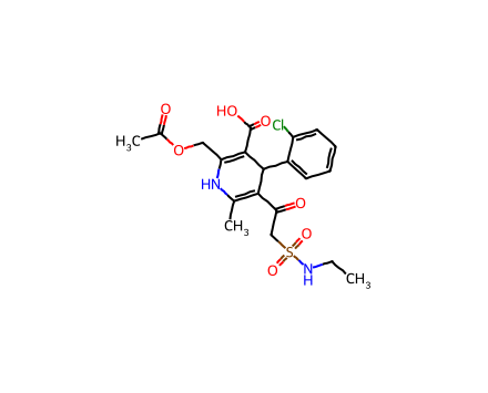 CCNS(=O)(=O)CC(=O)C1=C(C)NC(COC(C)=O)=C(C(=O)O)C1c1ccccc1Cl